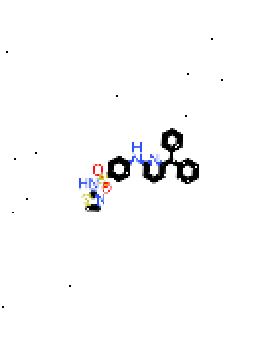 O=S(=O)(Nc1nccs1)c1ccc(Nc2cccc(C(c3ccccc3)c3ccccc3)n2)cc1